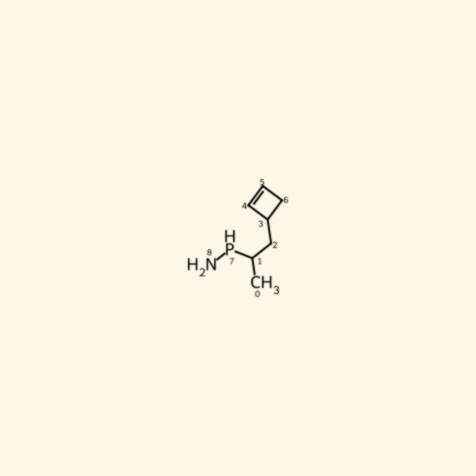 CC(CC1C=CC1)PN